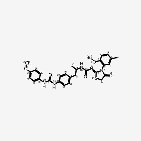 CCC(C)Oc1ccc(C)cc1N1C(=O)CS/C1=N\C(=O)NC(C)Cc1ccc(NC(=O)Nc2ccc(OC(F)(F)F)cc2)cc1